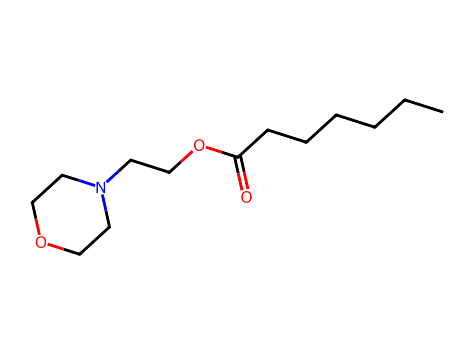 CCCCCCC(=O)OCCN1CCOCC1